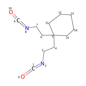 O=C=NCCC1(CCN=C=O)CCCCC1